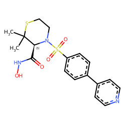 CC1(C)SCCN(S(=O)(=O)c2ccc(-c3ccncc3)cc2)[C@H]1C(=O)NO